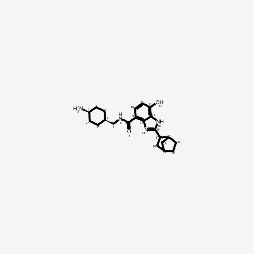 N[C@H]1CC[C@@H](CNC(=O)c2ccc(O)c3[nH]c(C4CC5CCC4C5)nc23)CC1